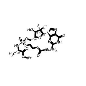 CC(C)OC(=O)[C@H](C)N[P@](=S)(OCCSC(=O)C(C)(C)C)OC[C@H]1O[C@@H](n2cnc3c(=O)[nH]c(N)nc32)[C@](F)(Cl)[C@@H]1O